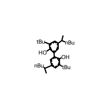 CCCCC(C)c1cc(-c2cc(C(C)CCCC)cc(C(C)(C)C)c2O)c(O)c(C(C)(C)C)c1